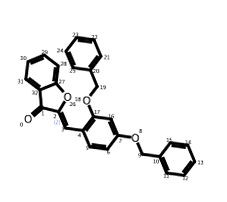 O=C1/C(=C/c2ccc(OCc3ccccc3)cc2OCc2ccccc2)Oc2ccccc21